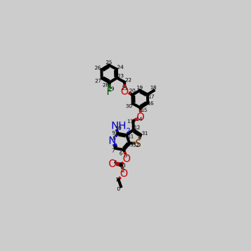 CCOC(=O)Oc1cnc(N)c2c(COc3cc(C)cc(OCc4ccccc4F)c3)csc12